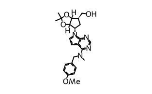 COc1ccc(CN(C)c2ncnc3c2ccn3[C@@H]2C[C@H](CO)[C@H]3OC(C)(C)O[C@H]32)cc1